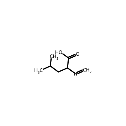 C=NC(CC(C)C)C(=O)O